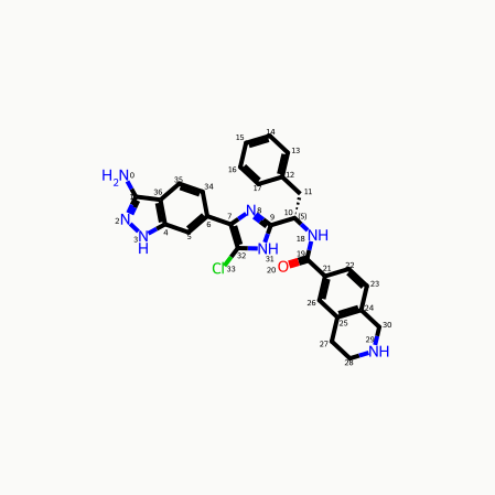 Nc1n[nH]c2cc(-c3nc([C@H](Cc4ccccc4)NC(=O)c4ccc5c(c4)CCNC5)[nH]c3Cl)ccc12